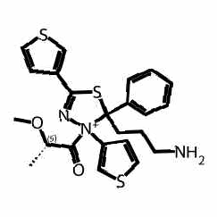 CO[C@@H](C)C(=O)[N+]1(c2ccsc2)N=C(c2ccsc2)SC1(CCCN)c1ccccc1